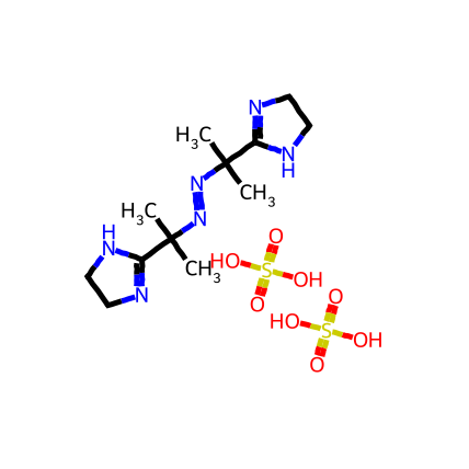 CC(C)(N=NC(C)(C)C1=NCCN1)C1=NCCN1.O=S(=O)(O)O.O=S(=O)(O)O